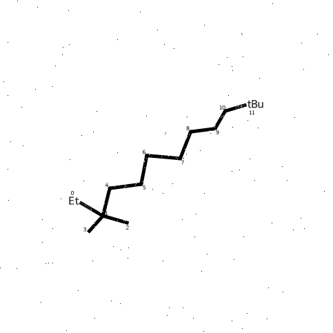 CCC(C)(C)CCC[CH]CCCC(C)(C)C